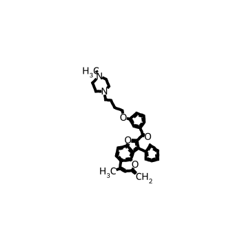 C=C1C=C(C)c2ccc3oc(C(=O)c4cccc(OCCCCN5CCN(C)CC5)c4)c(-c4ccccc4)c3c2O1